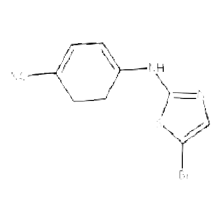 N#CC1=CC=C(Nc2ncc(Br)s2)CC1